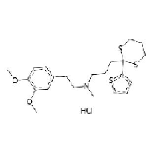 COc1ccc(CCN(C)CCCC2(c3cccs3)SCCCS2)cc1OC.Cl